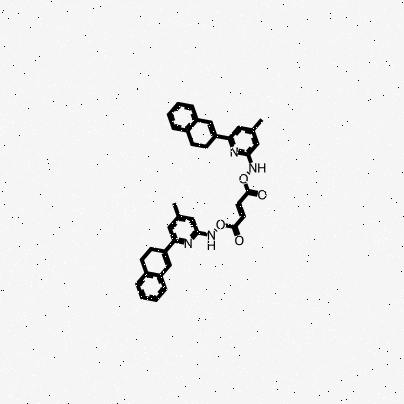 Cc1cc(NOC(=O)/C=C/C(=O)ONc2cc(C)cc(C3=Cc4ccccc4CC3)n2)nc(C2=Cc3ccccc3CC2)c1